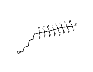 O=CCCCCCC(F)(F)C(F)(F)C(F)(F)C(F)(F)C(F)(F)C(F)(F)C(F)(F)C(F)(F)F